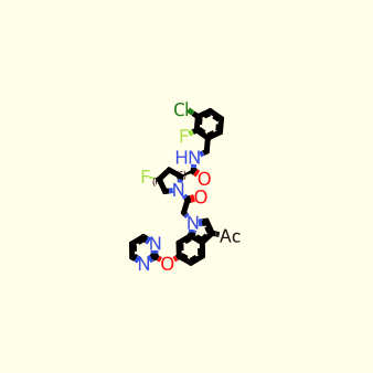 CC(=O)c1cn(CC(=O)N2C[C@H](F)C[C@H]2C(=O)NCc2cccc(Cl)c2F)c2cc(Oc3ncccn3)ccc12